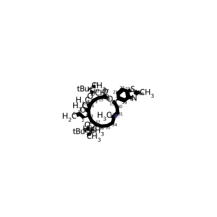 C=CC[C@H]1C(=O)C(C)(C)[C@@H](O[Si](C)(C)C(C)(C)C)CC(=O)O[C@H](c2ccc3sc(C)nc3c2)C/C=C(\C)CCC[C@H](C)[C@@H]1O[Si](C)(C)C(C)(C)C